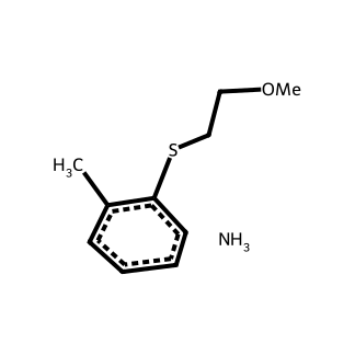 COCCSc1ccccc1C.N